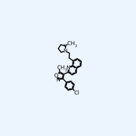 Cc1onc(-c2ccc(Cl)cc2)c1-c1ccc2cccc(CCN3CCC[C@H]3C)c2n1